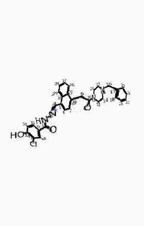 O=C(N/N=C/c1ccc(CC(=O)N2CCN(Cc3ccccc3)CC2)c2ccccc12)c1ccc(O)c(Cl)c1